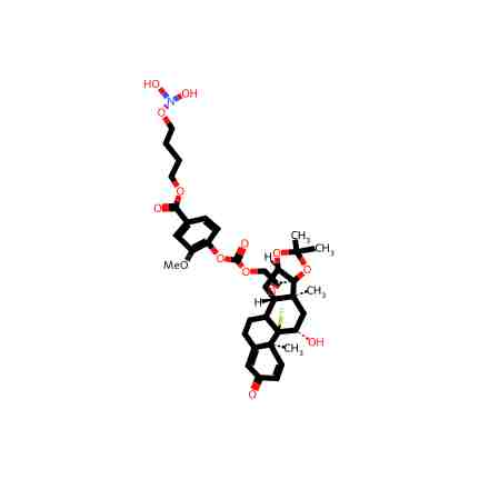 COc1cc(C(=O)OCCCCON(O)O)ccc1OC(=O)OCC(=O)[C@@]12OC(C)(C)O[C@@H]1C[C@H]1C3CCC4=CC(=O)C=C[C@]4(C)[C@@]3(F)[C@@H](O)C[C@@]12C